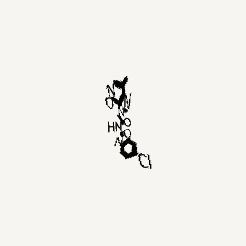 Cc1cn(C)c(=O)c2c1ncn2CC(=O)Nc1nc2ccc(Cl)cc2o1